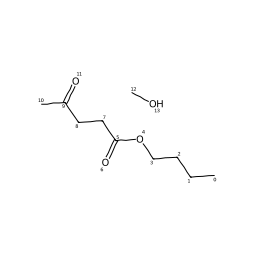 CCCCOC(=O)CCC(C)=O.CO